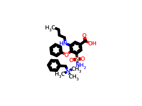 CCCCNc1cc(C(=O)O)cc(S(N)(=O)=O)c1Oc1ccccc1.C[N+](C)(C)Cc1ccccc1